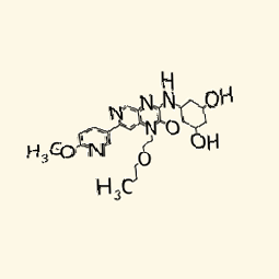 CCCOCCn1c(=O)c(NC2CC(O)CC(O)C2)nc2cnc(-c3ccc(OC)nc3)cc21